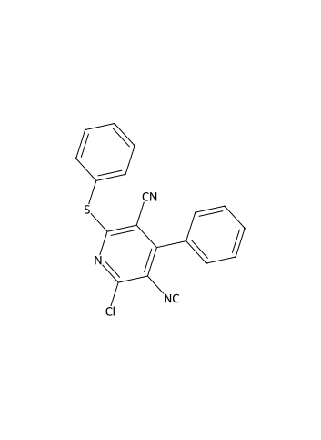 [C-]#[N+]c1c(Cl)nc(Sc2ccccc2)c(C#N)c1-c1ccccc1